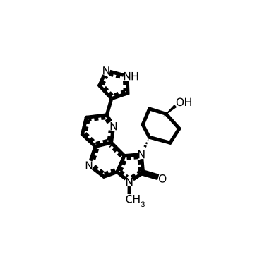 Cn1c(=O)n([C@H]2CC[C@H](O)CC2)c2c3nc(-c4cn[nH]c4)ccc3ncc21